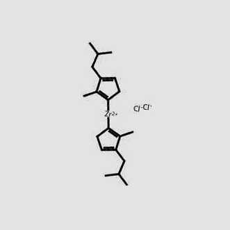 CC1=[C]([Zr+2][C]2=C(C)C(CC(C)C)=CC2)CC=C1CC(C)C.[Cl-].[Cl-]